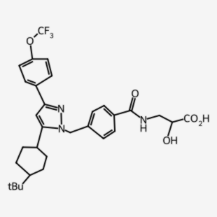 CC(C)(C)C1CCC(c2cc(-c3ccc(OC(F)(F)F)cc3)nn2Cc2ccc(C(=O)NCC(O)C(=O)O)cc2)CC1